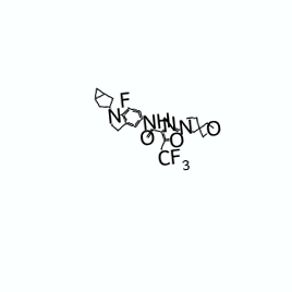 O=C(Nc1cc(F)c2c(c1)CCN2C1CC2CC2C1)c1nc(N2CCC3(COC3)C2)oc1CC(F)(F)F